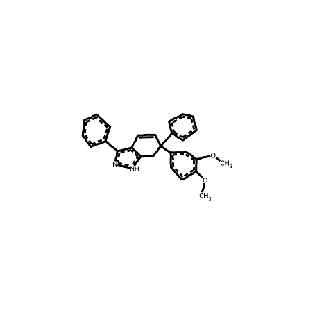 COc1ccc(C2(c3ccccc3)C=Cc3c(-c4ccccc4)n[nH]c3C2)cc1OC